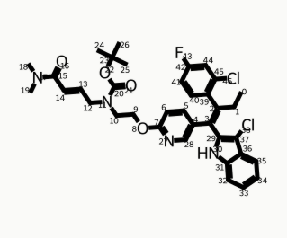 CC/C(=C(/c1ccc(OCCN(C/C=C/C(=O)N(C)C)C(=O)OC(C)(C)C)nc1)c1[nH]c2ccccc2c1Cl)c1ccc(F)cc1Cl